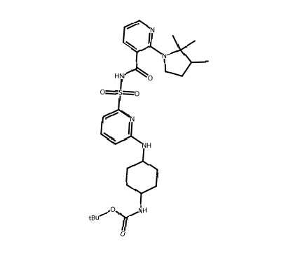 CC1CCN(c2ncccc2C(=O)NS(=O)(=O)c2cccc(NC3CCC(NC(=O)OC(C)(C)C)CC3)n2)C1(C)C